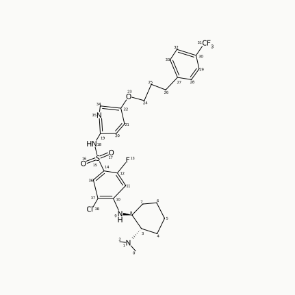 CN(C)[C@H]1CCCC[C@@H]1Nc1cc(F)c(S(=O)(=O)Nc2ccc(OCCCc3ccc(C(F)(F)F)cc3)cn2)cc1Cl